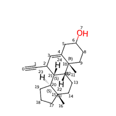 C#CC1C=C2CC(O)CC[C@]2(C)[C@@H]2CC[C@]3(C)CCC[C@H]3[C@H]12